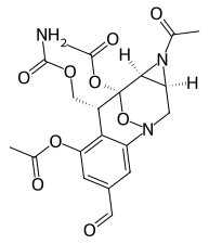 CC(=O)Oc1cc(C=O)cc2c1[C@H](COC(N)=O)[C@]1(OC(C)=O)ON2C[C@H]2[C@@H]1N2C(C)=O